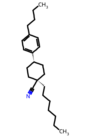 CCCCCCC[C@]1(C#N)CC[C@H](c2ccc(CCCC)cc2)CC1